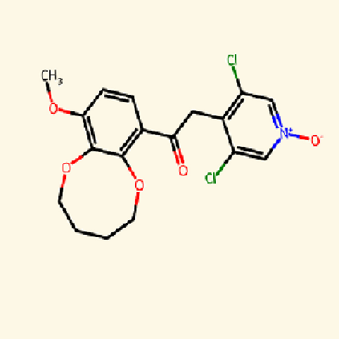 COc1ccc(C(=O)Cc2c(Cl)c[n+]([O-])cc2Cl)c2c1OCCCCO2